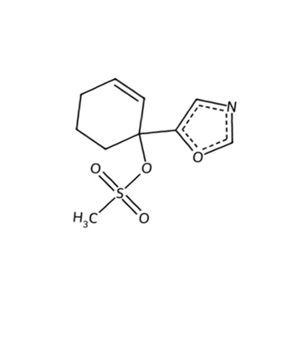 CS(=O)(=O)OC1(c2cnco2)C=CCCC1